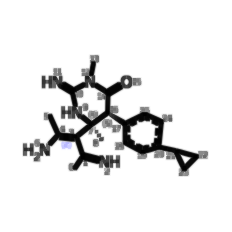 CC(=N)/C(=C(/C)N)[C@@]1(C)NC(=N)N(C)C(=O)[C@H]1c1ccc(C2CC2)cc1